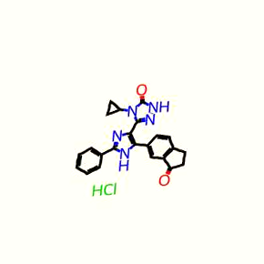 Cl.O=C1CCc2ccc(-c3[nH]c(-c4ccccc4)nc3-c3n[nH]c(=O)n3C3CC3)cc21